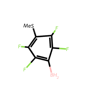 Bc1c(F)c(F)c(SC)c(F)c1F